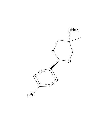 CCCCCC[C@]1(C)CO[C@@H](c2ccc(CCC)cc2)OC1